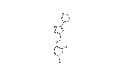 Clc1ccc(OCc2n[nH]c(-c3cccnc3)n2)c(Cl)c1